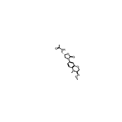 CON=C1COc2cc(N3C[C@H](CNC(C)=O)OC3=O)ccc2N1C